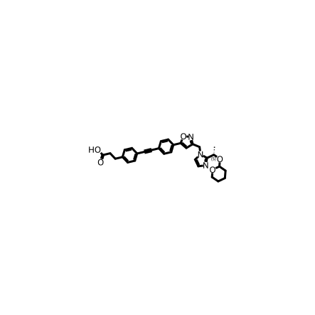 C[C@H](OC1CCCCO1)c1nccn1Cc1cc(-c2ccc(C#Cc3ccc(CCC(=O)O)cc3)cc2)on1